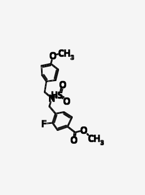 COC(=O)c1ccc(CN(Cc2ccc(OC)cc2)[SH](=O)=O)c(F)c1